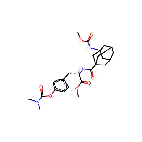 COC(=O)NC12CC3CC(C1)CC(C(=O)N[C@@H](Cc1ccc(OC(=O)N(C)C)cc1)C(=O)OC)(C3)C2